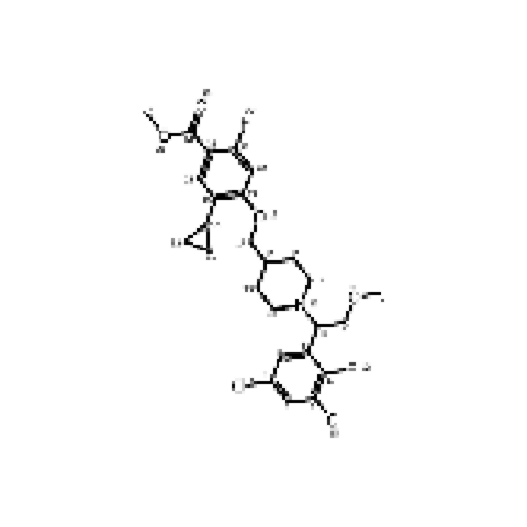 COCC(c1cc(Cl)cc(Cl)c1F)N1CCC(COc2cc(F)c(C(=O)OC)cc2C2CC2)CC1